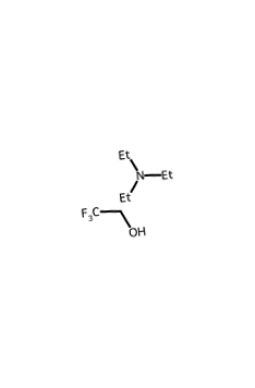 CCN(CC)CC.OCC(F)(F)F